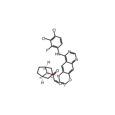 C=CC(=O)N1[C@@H]2CC[C@H]1C[C@H](N1CCOc3cc4ncnc(Nc5ccc(Cl)c(Cl)c5F)c4cc31)C2